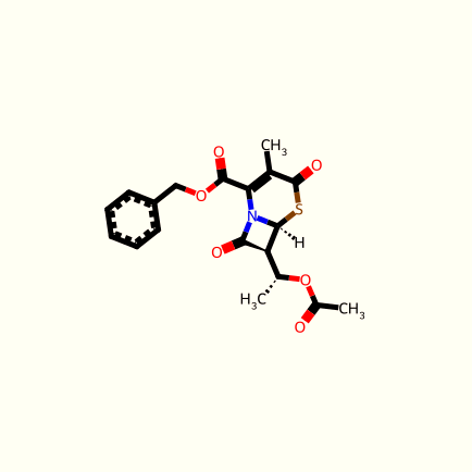 CC(=O)O[C@H](C)[C@H]1C(=O)N2C(C(=O)OCc3ccccc3)=C(C)C(=O)S[C@@H]12